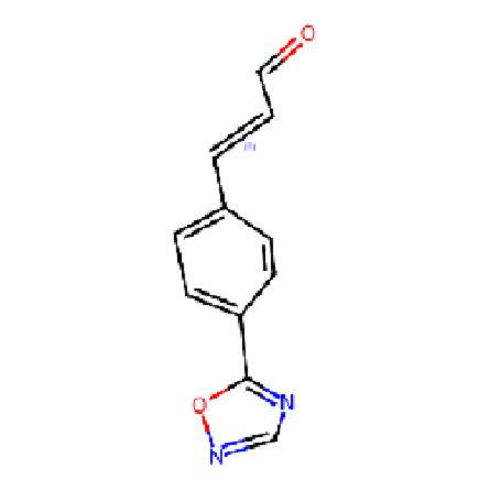 O=C/C=C/c1ccc(-c2ncno2)cc1